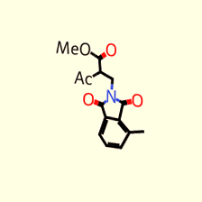 COC(=O)C(CN1C(=O)c2cccc(C)c2C1=O)C(C)=O